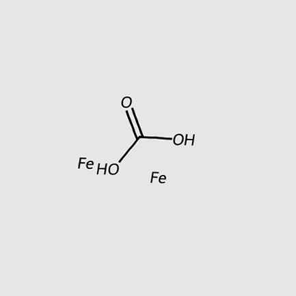 O=C(O)O.[Fe].[Fe]